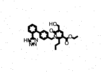 CCCc1c(C(=O)OCC)cc(CO)c(=O)n1Cc1ccc(-c2ccccc2-c2nnn[nH]2)cc1